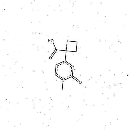 Cn1ccc(C2(C(=O)O)CCC2)cc1=O